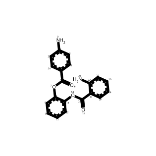 Nc1ccc(C(=O)Oc2ccccc2OC(=O)c2ccccc2N)cc1